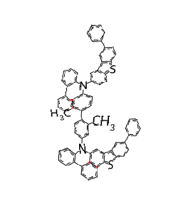 Cc1cc(N(c2ccc3sc4ccc(-c5ccccc5)cc4c3c2)c2ccccc2-c2ccccc2)ccc1-c1ccc(N(c2ccc3sc4ccc(-c5ccccc5)cc4c3c2)c2ccccc2-c2ccccc2)cc1C